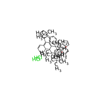 Cl.Cl.[CH2]=[Zr]([C]1=CC=CC1)([C]1=CC=CC1)([c]1ccc(C(C)(C)C)cc1)([c]1ccc(C(C)(C)C)cc1)[C]1(C)C2=C3Cc4ccccc4C3=C3C=CCCC3C2(C)C(C)(C)C(C)(C)C1(C)C